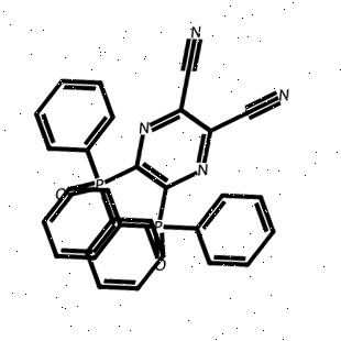 N#Cc1nc(P(=O)(c2ccccc2)c2ccccc2)c(P(=O)(c2ccccc2)c2ccccc2)nc1C#N